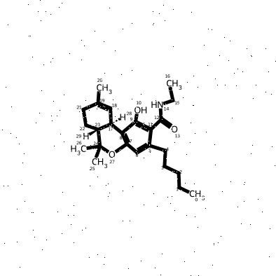 CCCCCc1cc2c(c(O)c1C(=O)NCC)[C@@H]1C=C(C)CC[C@H]1C(C)(C)O2